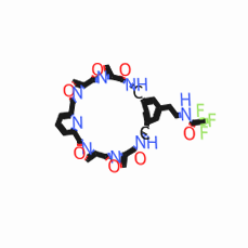 O=C1NCc2cc(CCNC(=O)C(F)(F)F)cc(c2)CNC(=O)c2coc(n2)-c2coc(n2)-c2cccc(n2)-c2nc(co2)-c2nc1co2